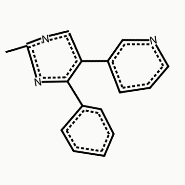 Cc1ncc(-c2cccnc2)c(-c2ccccc2)n1